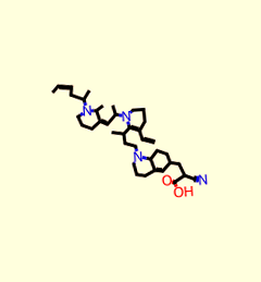 C=CC1=C(C(C)CCN2CCCC3=CC(CC(C#N)C(=O)O)CCC32)N(C(C)/C=C2/CCCN(C(C)C/C=C\C)C2C)CCC1